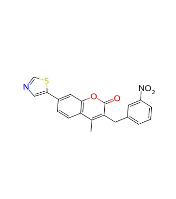 Cc1c(Cc2cccc([N+](=O)[O-])c2)c(=O)oc2cc(-c3cncs3)ccc12